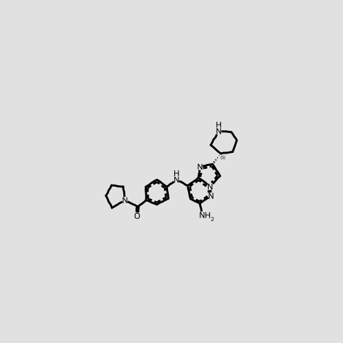 Nc1cc(Nc2ccc(C(=O)N3CCCC3)cc2)c2nc([C@H]3CCCNC3)cn2n1